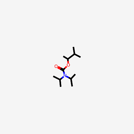 CC(C)C(C)OC(=O)N(C(C)C)C(C)C